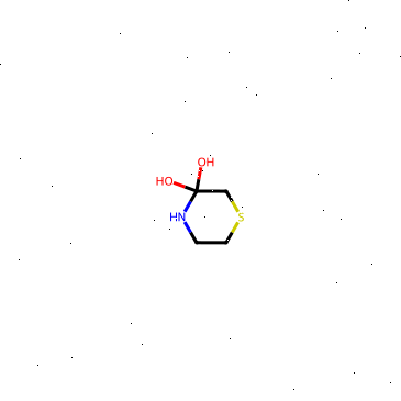 OC1(O)CSCCN1